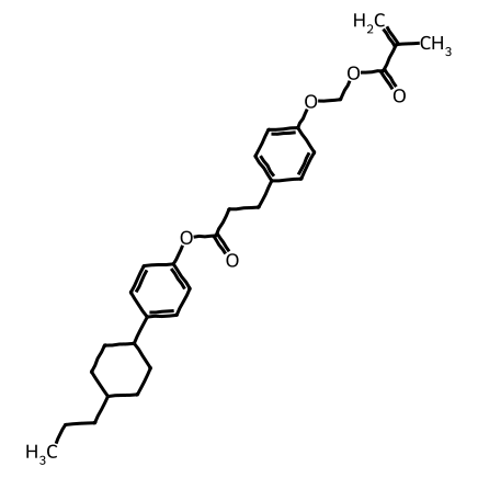 C=C(C)C(=O)OCOc1ccc(CCC(=O)Oc2ccc(C3CCC(CCC)CC3)cc2)cc1